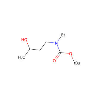 CCN(CCC(C)O)C(=O)OC(C)(C)C